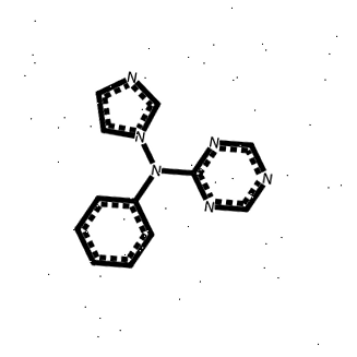 c1ccc(N(c2ncncn2)n2ccnc2)cc1